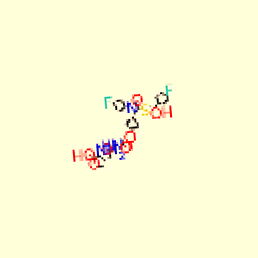 CCC(CC(=O)CNC(=O)COc1ccc([C@@H]2[C@@H](SC[C@H](O)c3ccc(F)cc3)C(=O)N2c2ccc(F)cc2)cc1)[C@@H](N)C(=O)O